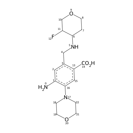 Nc1cc(CNC2CCOCC2F)c(C(=O)O)cc1N1CCOCC1